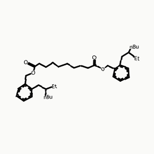 CCCCC(CC)Cc1ccccc1COC(=O)CCCCCCCCC(=O)OCc1ccccc1CC(CC)CCCC